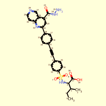 CCC(C)C(NS(=O)(=O)c1ccc(C#Cc2ccc(-c3cc(C(=O)NN)c4cnccc4n3)cc2)cc1)C(=O)O